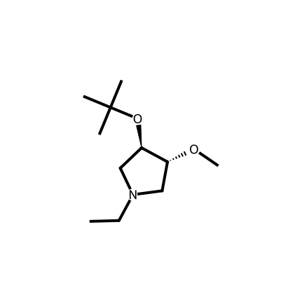 CCN1C[C@@H](OC)[C@H](OC(C)(C)C)C1